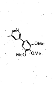 COc1cc(-c2cncc(C)c2)cc(OC)c1OC